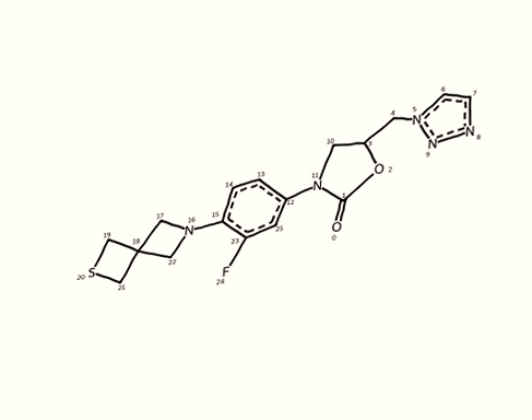 O=C1OC(Cn2ccnn2)CN1c1ccc(N2CC3(CSC3)C2)c(F)c1